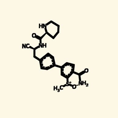 C[S+]([O-])c1cc(-c2ccc(C[C@@H](C#N)NC(=O)[C@@H]3CCCCN3)cc2)ccc1C(N)=O